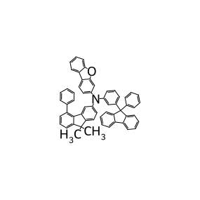 CC1(C)c2ccc(N(c3cccc(C4(c5ccccc5)c5ccccc5-c5ccccc54)c3)c3ccc4c(c3)oc3ccccc34)cc2-c2c(-c3ccccc3)cccc21